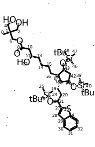 CC(CO)(CO)COC(=O)CC(O)CCCC[C@@H]1[C@@H](CCC(O[Si](C)(C)C(C)(C)C)c2cc3ccccc3s2)[C@H](O[Si](C)(C)C(C)(C)C)C[C@@H]1O[Si](C)(C)C(C)(C)C